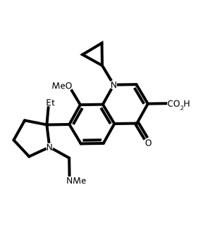 CCC1(c2ccc3c(=O)c(C(=O)O)cn(C4CC4)c3c2OC)CCCN1CNC